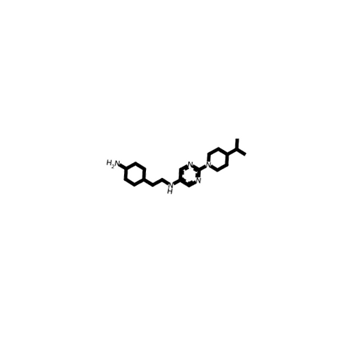 CC(C)C1CCN(c2ncc(NCCC3CCC(N)CC3)cn2)CC1